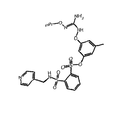 CCCON=C(N)NOc1cc(C)cc(OS(=O)(=O)c2ccccc2S(=O)(=O)NCc2ccncc2)c1